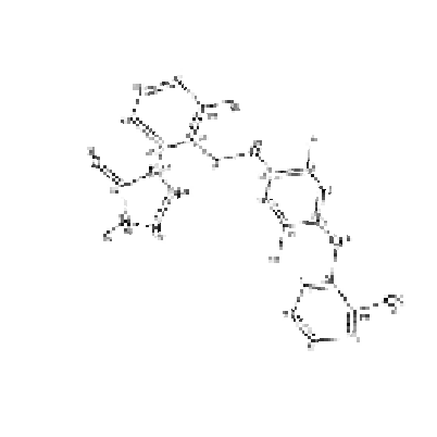 Cc1cc(Oc2ccccc2C#N)c(C)cc1OCc1c(C)cccc1-n1nnn(C)c1=O